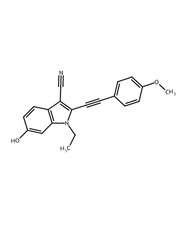 CCn1c(C#Cc2ccc(OC)cc2)c(C#N)c2ccc(O)cc21